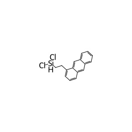 Cl[SiH](Cl)CCc1cccc2cc3ccccc3cc12